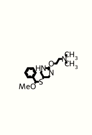 COC(SC1CN=C(OCCN(C)C)NC1)c1ccccc1